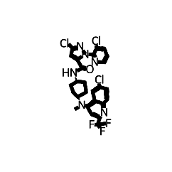 CN(c1cc(C(F)(F)F)nc2ccc(Cl)cc12)[C@H]1CC[C@@H](NC(=O)c2cc(Cl)nn2-c2ncccc2Cl)CC1